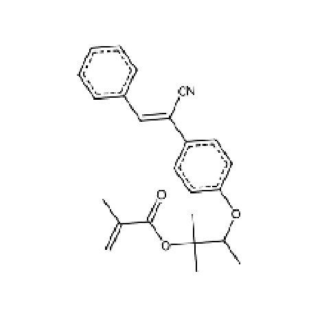 C=C(C)C(=O)OC(C)(C)C(C)Oc1ccc(/C(C#N)=C/c2ccccc2)cc1